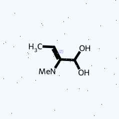 C/C=C(\NC)C(O)O